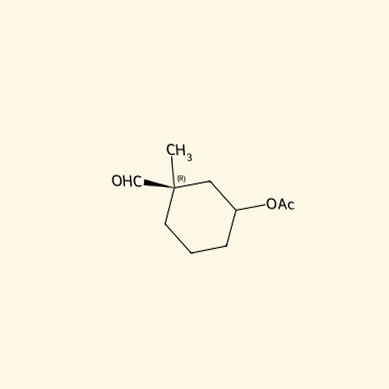 CC(=O)OC1CCC[C@@](C)(C=O)C1